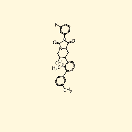 Cc1cccc(-c2cccc(C3CC4C(=O)N(c5cccc(F)c5)C(=O)N4CC3C)c2C)c1